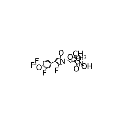 CS(=O)(=O)[C@H](CCn1cc(F)c(-c2ccc(OC(F)F)c(F)c2)cc1=O)C(=O)NO